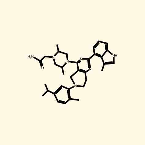 Cc1ccc(C(C)C)cc1N1CCc2nc(-c3cccc4[nH]cc(C)c34)nc(N3CC(C)N(CC(N)=O)CC3C)c2C1